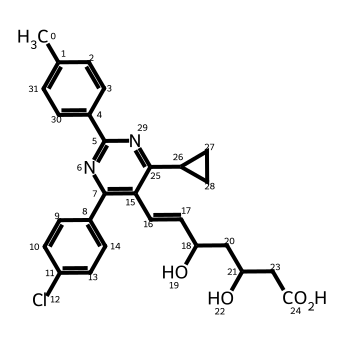 Cc1ccc(-c2nc(-c3ccc(Cl)cc3)c(/C=C/C(O)CC(O)CC(=O)O)c(C3CC3)n2)cc1